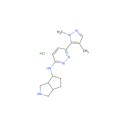 Cc1cnn(C)c1-c1ccc(NC2CCC3CNCC32)nn1.Cl